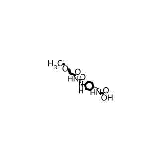 CCOC=CC(=O)NC(=O)N[C@H]1CC[C@H](CNC(=O)O)CC1